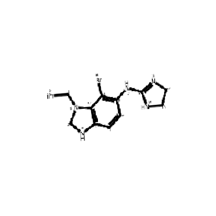 CC(C)CN1CNc2ccc(NC3=NCCN3)c(Br)c21